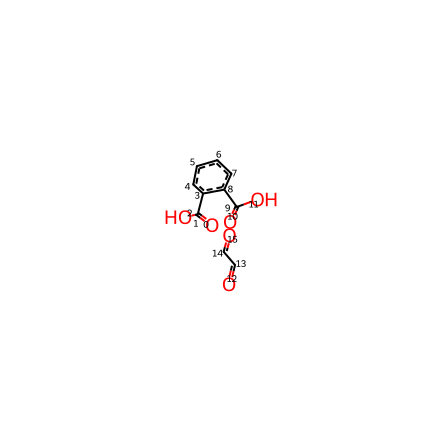 O=C(O)c1ccccc1C(=O)O.O=CC=O